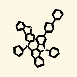 c1ccc(-c2ccc(-c3ccc4c5c(N(c6ccccc6)c6ccc7sc8ccccc8c7c6)cc6ccccc6c5n(-c5ccccc5)c4c3)cc2)cc1